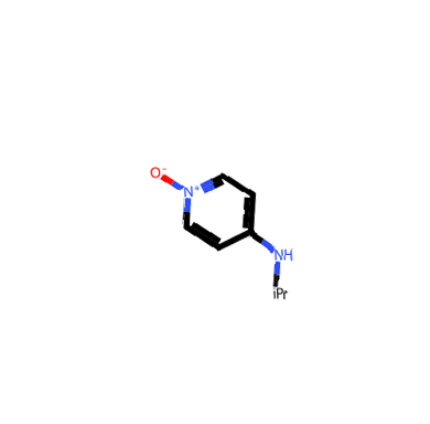 CC(C)Nc1cc[n+]([O-])cc1